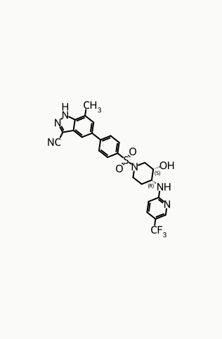 Cc1cc(-c2ccc(S(=O)(=O)N3CC[C@@H](Nc4ccc(C(F)(F)F)cn4)[C@@H](O)C3)cc2)cc2c(C#N)n[nH]c12